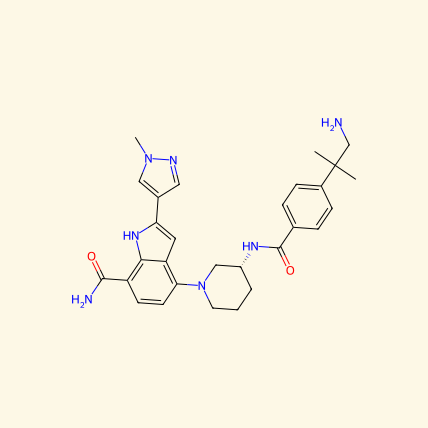 Cn1cc(-c2cc3c(N4CCC[C@@H](NC(=O)c5ccc(C(C)(C)CN)cc5)C4)ccc(C(N)=O)c3[nH]2)cn1